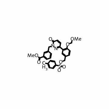 COCOc1ccc(COS(=O)(=O)c2ccc(C)cc2)cc1-c1ccc(=O)n(Cc2cccc(C(=O)OC)c2)n1